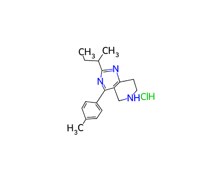 CCC(C)c1nc2c(c(-c3ccc(C)cc3)n1)CNCC2.Cl